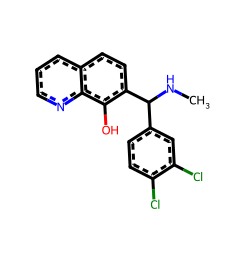 CNC(c1ccc(Cl)c(Cl)c1)c1ccc2cccnc2c1O